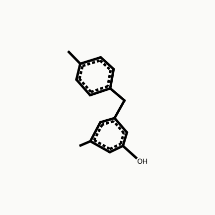 Cc1ccc(Cc2cc(C)cc(O)c2)cc1